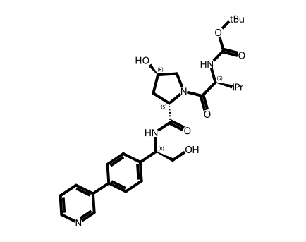 CC(C)[C@H](NC(=O)OC(C)(C)C)C(=O)N1C[C@H](O)C[C@H]1C(=O)N[C@@H](CO)c1ccc(-c2cccnc2)cc1